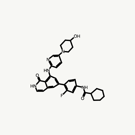 O=C(Nc1ccc(-c2cc(Nc3ccc(N4CCC(O)CC4)cn3)c3c(=O)[nH]ccc3c2)c(F)c1)C1CCCCC1